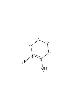 OC1=C(F)CCCC1